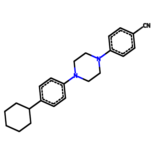 N#Cc1ccc(N2CCN(c3ccc(C4CCCCC4)cc3)CC2)cc1